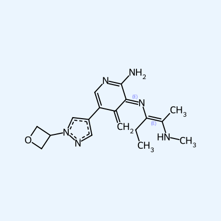 C=C1C(c2cnn(C3COC3)c2)=CN=C(N)/C1=N/C(CC)=C(\C)NC